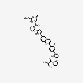 C=CC[C@H](NC(=O)OC)C(=O)N1CCC[C@H]1c1ncc(-c2ccc3nc(-c4ccc(-c5cnc([C@@H]6CCCN6C(=O)[C@@H](N)C(C)C)[nH]5)cc4F)ccc3c2)[nH]1